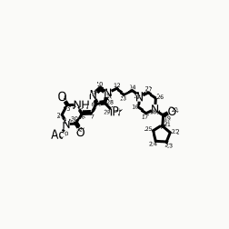 CC(=O)N1CC(=O)N/C(=C\c2ncn(CCCN3CCN(C(=O)C4CCCC4)CC3)c2C(C)C)C1=O